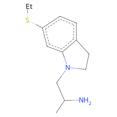 CCSc1ccc2c(c1)N(CC(C)N)CC2